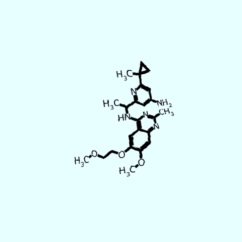 COCCOc1cc2c(NC(C)c3cc(N)cc(C4(C)CC4)n3)nc(C)nc2cc1OC